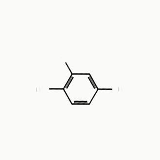 Cc1ccc(C)c(C(C)C)c1